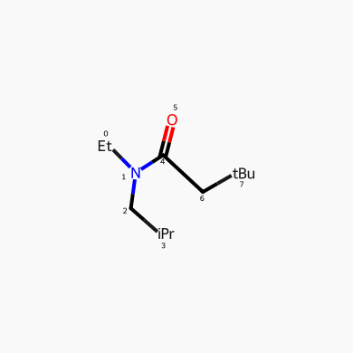 CCN(CC(C)C)C(=O)CC(C)(C)C